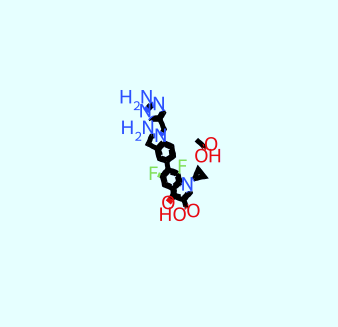 CC(=O)O.Nc1ncc(CN2CCc3cc(-c4c(F)cc5c(=O)c(C(=O)O)cn(C6CC6)c5c4F)ccc32)c(N)n1